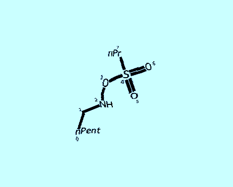 CCCCCCNOS(=O)(=O)CCC